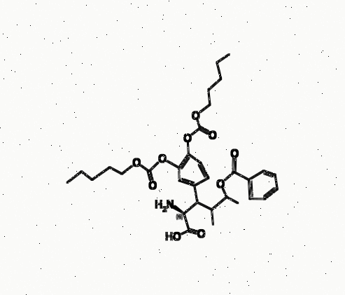 CCCCCOC(=O)Oc1ccc(C(C(C)C(C)OC(=O)c2ccccc2)[C@H](N)C(=O)O)cc1OC(=O)OCCCCC